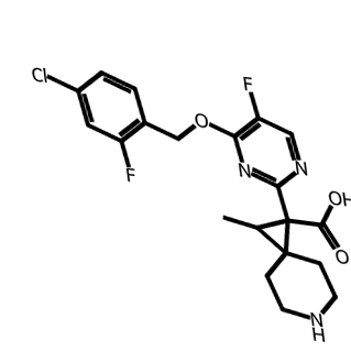 CC1C2(CCNCC2)C1(C(=O)O)c1ncc(F)c(OCc2ccc(Cl)cc2F)n1